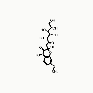 COc1ccc2c(c1)OC(O)([CH]C(=O)[C@H](O)[C@@H](O)[C@H](O)[C@H](O)CO)C(=O)N2O